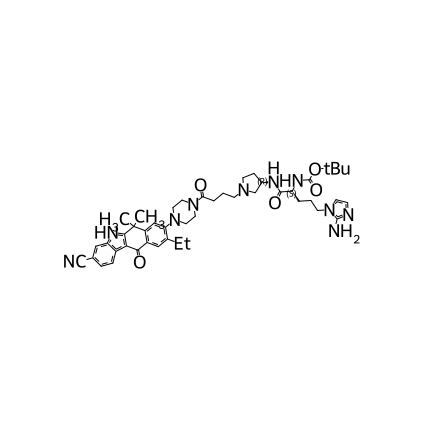 CCc1cc2c(cc1N1CCN(C(=O)CCCN3CC[C@@H](NC(=O)[C@H](CCCn4ccnc4N)NC(=O)OC(C)(C)C)C3)CC1)C(C)(C)c1[nH]c3cc(C#N)ccc3c1C2=O